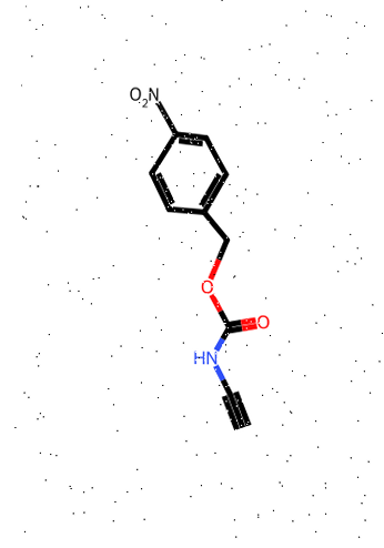 C#CNC(=O)OCc1ccc([N+](=O)[O-])cc1